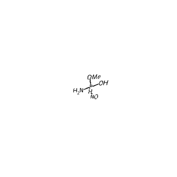 CO[PH](N)(O)N=O